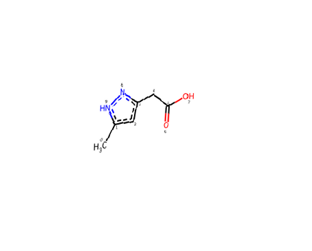 Cc1cc(CC(=O)O)n[nH]1